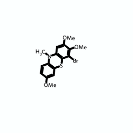 COc1ccc2c(c1)Sc1c(cc(OC)c(OC)c1Br)N2C